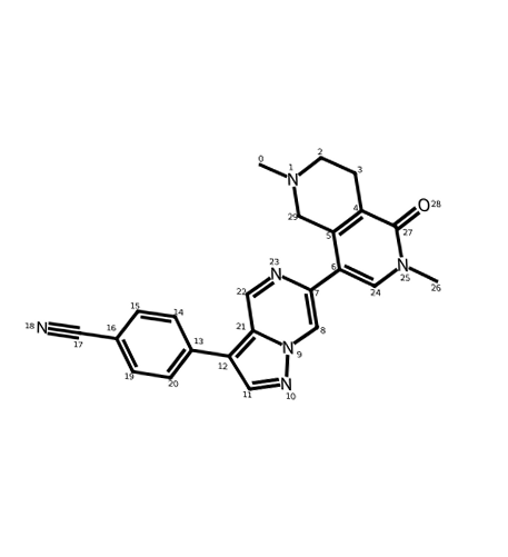 CN1CCc2c(c(-c3cn4ncc(-c5ccc(C#N)cc5)c4cn3)cn(C)c2=O)C1